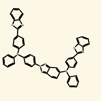 c1ccc(N(c2ccc(-c3nc4ccccc4o3)cc2)c2ccc(-n3nc4ccc(N(c5ccccc5)c5ccc(-c6nc7ccccc7o6)cc5)cc4n3)cc2)cc1